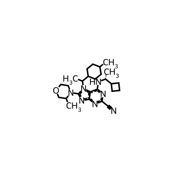 CC1CCC(C(C)n2c(N3CCOCC3C)nc3nc(C#N)nc(N[C@H](C)C4CCC4)c32)CC1